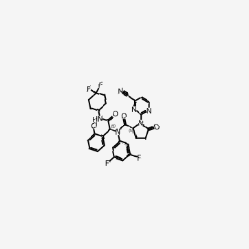 N#Cc1ccnc(N2C(=O)CC[C@H]2C(=O)N(c2cc(F)cc(F)c2)[C@H](C(=O)NC2CCC(F)(F)CC2)c2ccccc2Cl)n1